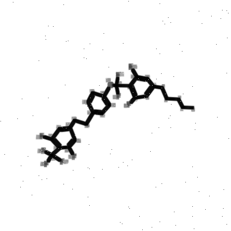 CCCCCc1cc(F)c(C(F)(F)Oc2ccc(CCc3cc(F)c(C(F)(F)F)c(F)c3)cc2)c(F)c1